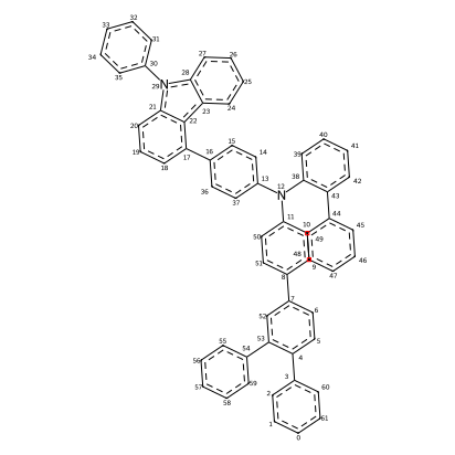 c1ccc(-c2ccc(-c3ccc(N(c4ccc(-c5cccc6c5c5ccccc5n6-c5ccccc5)cc4)c4ccccc4-c4ccccc4)cc3)cc2-c2ccccc2)cc1